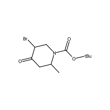 CC1CC(=O)C(Br)CN1C(=O)OC(C)(C)C